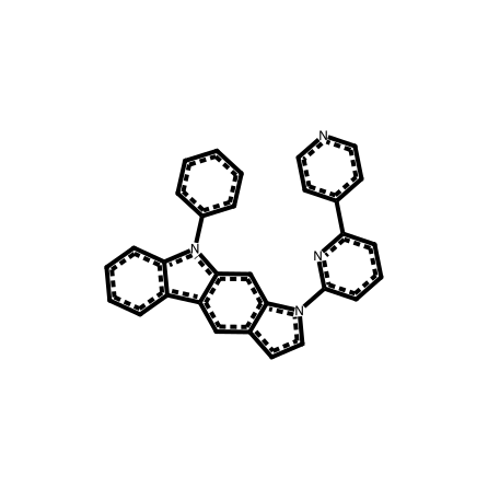 c1ccc(-n2c3ccccc3c3cc4ccn(-c5cccc(-c6ccncc6)n5)c4cc32)cc1